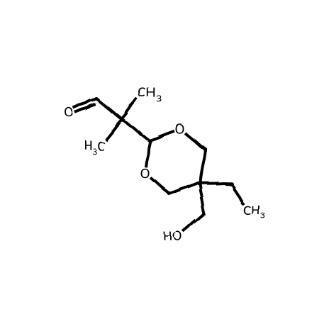 CCC1(CO)COC(C(C)(C)C=O)OC1